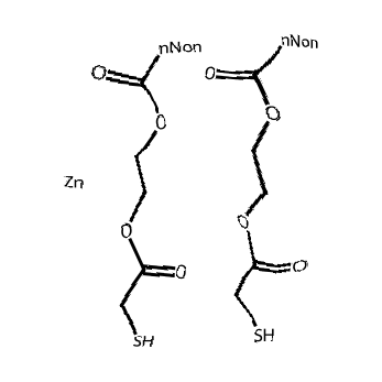 CCCCCCCCCC(=O)OCCOC(=O)CS.CCCCCCCCCC(=O)OCCOC(=O)CS.[Zn]